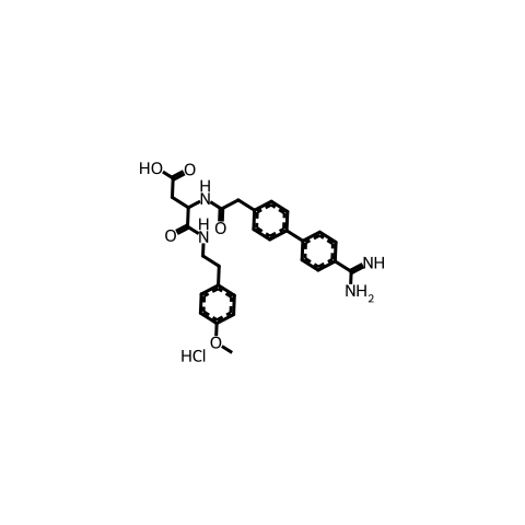 COc1ccc(CCNC(=O)C(CC(=O)O)NC(=O)Cc2ccc(-c3ccc(C(=N)N)cc3)cc2)cc1.Cl